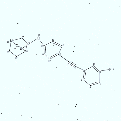 Fc1cccc(C#Cc2ccc(OC3CN4CCC3CC4)cc2)c1